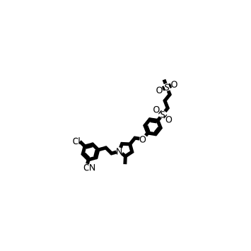 CC1CC(COc2ccc(S(=O)(=O)CCCS(C)(=O)=O)cc2)CN1CCc1cc(Cl)cc(C#N)c1